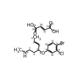 C/C=C/C(CCNC)Oc1ccc(Br)c(Cl)c1.O=C(O)/C=C/C(=O)O